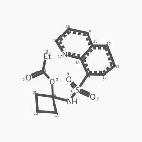 CCC(=O)OC1(NS(=O)(=O)c2cccc3cccnc23)CCC1